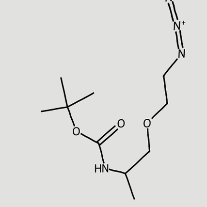 CC(COCCN=[N+]=[N-])NC(=O)OC(C)(C)C